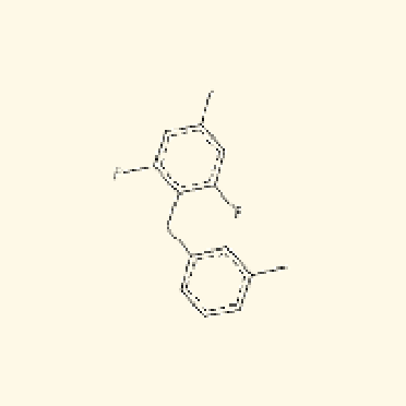 Cc1cccc(Cc2c(F)cc(C)cc2F)c1